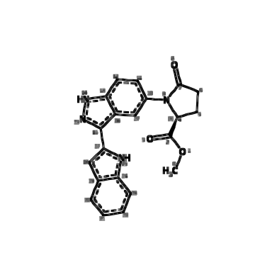 COC(=O)[C@@H]1CCC(=O)N1c1ccc2[nH]nc(-c3cc4ccccc4[nH]3)c2c1